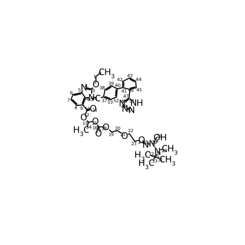 CCOc1nc2cccc(C(=O)OC(C)OC(=O)OCCOCCO/N=[N+](\O)N(C)C(C)(C)C)c2n1Cc1ccc(-c2ccccc2-c2nnn[nH]2)cc1